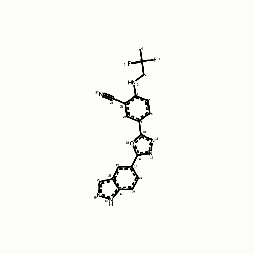 CC(F)(F)CNc1ccc(-c2nnc(-c3ccc4[nH]ncc4c3)o2)cc1C#N